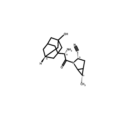 C[C@H]1C2C[C@@H](C#N)N(C(=O)[C@@H](N)C34CC5C[C@H](CC(O)(C5)C3)C4)C21